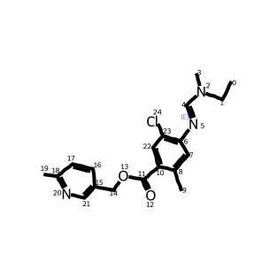 CCN(C)/C=N/c1cc(C)c(C(=O)OCc2ccc(C)nc2)cc1Cl